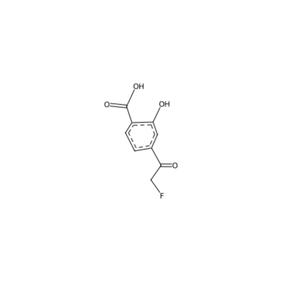 O=C(CF)c1ccc(C(=O)O)c(O)c1